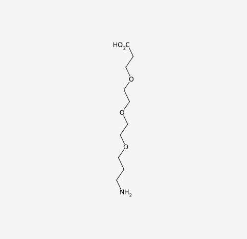 NCCCOCCOCCOCCC(=O)O